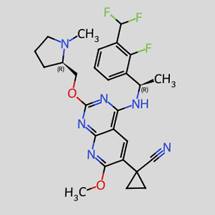 COc1nc2nc(OC[C@H]3CCCN3C)nc(N[C@H](C)c3cccc(C(F)F)c3F)c2cc1C1(C#N)CC1